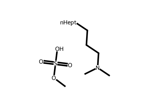 CCCCCCCCCCN(C)C.COS(=O)(=O)O